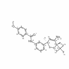 COc1ccc(C(=O)Nc2cccc([C@]3(C)CO[C@@](C)(C(F)(F)F)C(N)=N3)c2)nc1